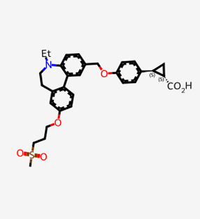 CCN1CCc2cc(OCCCS(C)(=O)=O)ccc2-c2cc(COc3ccc([C@H]4C[C@@H]4C(=O)O)cc3)ccc21